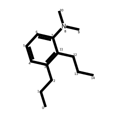 CCCc1cccc(N(C)C)c1CCC